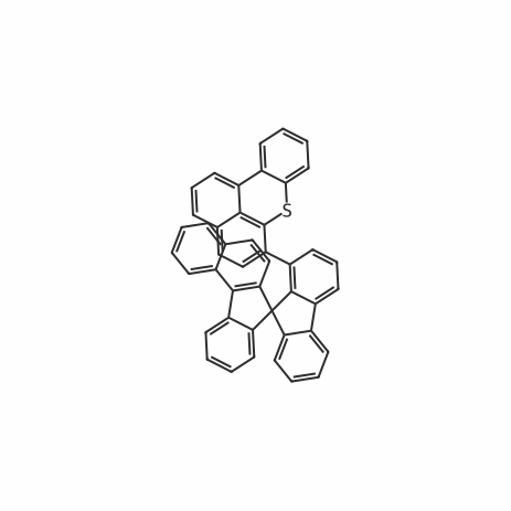 c1ccc2c(c1)Sc1c(-c3cccc4c3C3(c5ccccc5-4)c4ccccc4-c4c3ccc3ccccc43)ccc3cccc-2c13